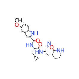 COc1ccc2[nH]c(C(=O)N[C@@H](CC3CC3)C(=O)N[C@H](C#N)C[C@@H]3CCCNC3=O)cc2c1